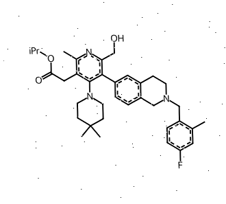 Cc1cc(F)ccc1CN1CCc2cc(-c3c(CO)nc(C)c(CC(=O)OC(C)C)c3N3CCC(C)(C)CC3)ccc2C1